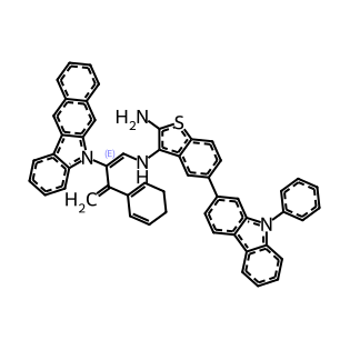 C=C(C1=CCCC=C1)/C(=C\Nc1c(N)sc2ccc(-c3ccc4c5ccccc5n(-c5ccccc5)c4c3)cc12)n1c2ccccc2c2cc3ccccc3cc21